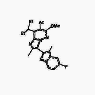 CCC(CC)c1c(C(C)=O)c(OC)nn2c(-c3sc4ccc(F)cc4c3C)c(C)nc12